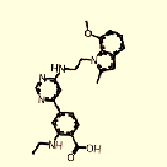 CCNc1cc(-c2cc(NCCn3c(C)cc4cccc(OC)c43)ncn2)ccc1C(=O)O